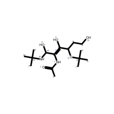 CC(=O)N/C(=C(/O)C(CCO)OC(C)(C)C)C(O)NC(C)(C)C